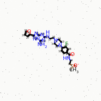 C[S@+]([O-])CCNC(=O)c1ccc(N2CCN(CCNc3nc(N)n4nc(-c5ccco5)nc4n3)CC2)c(F)c1